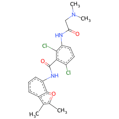 Cc1oc2c(NC(=O)c3c(Cl)ccc(NC(=O)CN(C)C)c3Cl)cccc2c1C